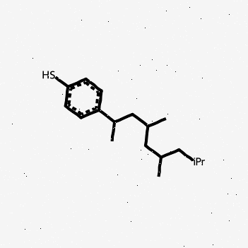 CC(C)CC(C)CC(C)CC(C)c1ccc(S)cc1